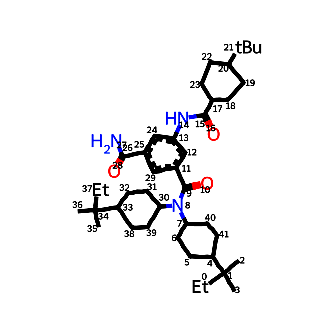 CCC(C)(C)C1CCC(N(C(=O)c2cc(NC(=O)C3CCC(C(C)(C)C)CC3)cc(C(N)=O)c2)C2CCC(C(C)(C)CC)CC2)CC1